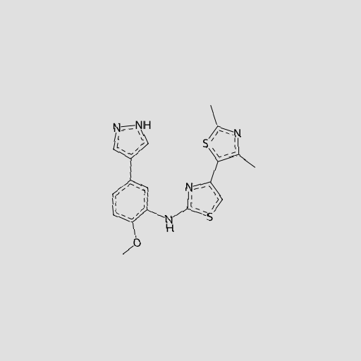 COc1ccc(-c2cn[nH]c2)cc1Nc1nc(-c2sc(C)nc2C)cs1